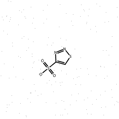 [O]S(=O)(=O)c1csnn1